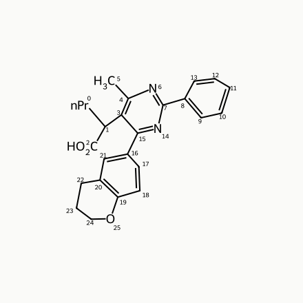 CCCC(C(=O)O)c1c(C)nc(-c2ccccc2)nc1-c1ccc2c(c1)CCCO2